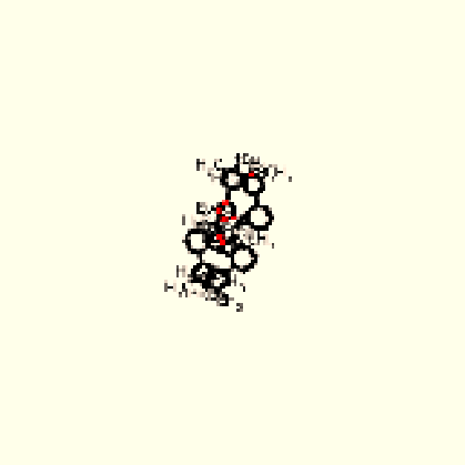 CCC1=CC2=C(C=CC=CC2c2cc(C)c(C(C)(C)C)c(C)c2)[C]12[SiH](C)[C]1(C(CC)=CC3=C1C=CC=CC3c1cc(C)c(C(C)(C)C)c(C)c1)[Hf]21([Cl])([Cl])[C]2(C(CC)=CC3=C2C=CC=CC3c2cc(C)c(C(C)(C)C)c(C)c2)[SiH](C)[C]12C(CC)=CC1=C2C=CC=CC1c1cc(C)c(C(C)(C)C)c(C)c1